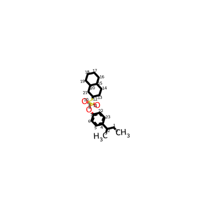 CCC(C)c1ccc(OS(=O)(=O)C2CCC3CCCCC3C2)cc1